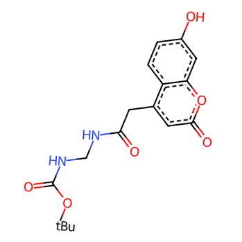 CC(C)(C)OC(=O)NCNC(=O)Cc1cc(=O)oc2cc(O)ccc12